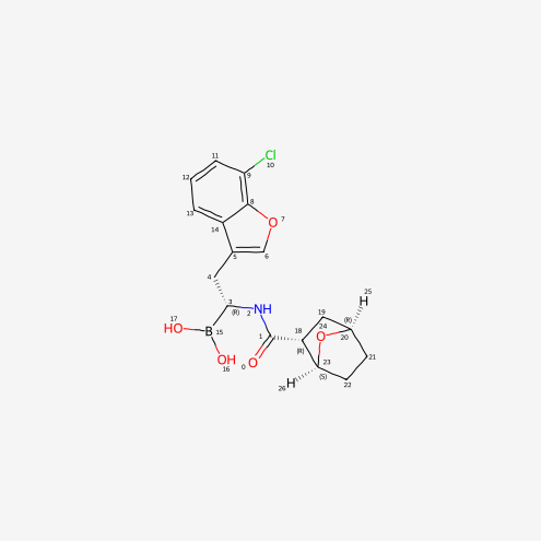 O=C(N[C@@H](Cc1coc2c(Cl)cccc12)B(O)O)[C@@H]1C[C@H]2CC[C@@H]1O2